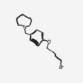 BrCCCCOc1ccc(CN2CCCCC2)cc1